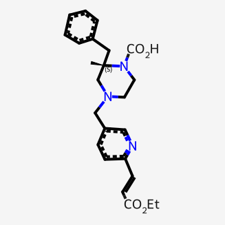 CCOC(=O)C=Cc1ccc(CN2CCN(C(=O)O)[C@@](C)(Cc3ccccc3)C2)cn1